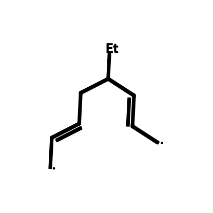 [CH2]C=CCC(C=C[CH2])CC